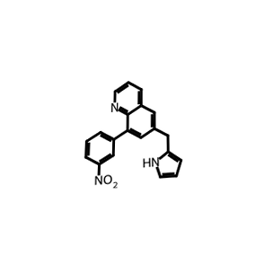 O=[N+]([O-])c1cccc(-c2cc(Cc3ccc[nH]3)cc3cccnc23)c1